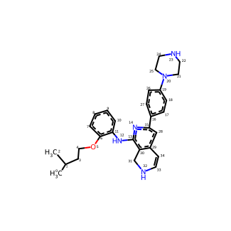 CC(C)CCOc1ccccc1Nc1nc(-c2ccc(N3CCNCC3)cc2)cc2c1CNC=C2